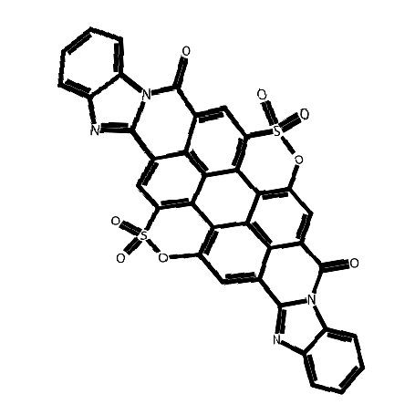 O=c1c2cc3c4c5c(cc6c(=O)n7c8ccccc8nc7c7cc8c(c9c(cc(c2c49)c2nc4ccccc4n12)OS8(=O)=O)c5c67)S(=O)(=O)O3